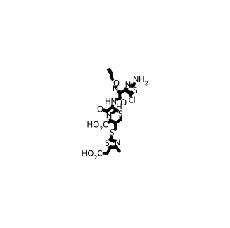 C=CCON=C(C(=O)NC1C(=O)N2C(C(=O)O)=C(CSc3nc(C)c(CC(=O)O)s3)CS[C@@H]12)c1nc(N)sc1Cl